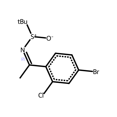 C/C(=N/[S+]([O-])C(C)(C)C)c1ccc(Br)cc1Cl